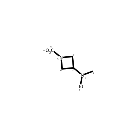 CCN(C)C1CN(C(=O)O)C1